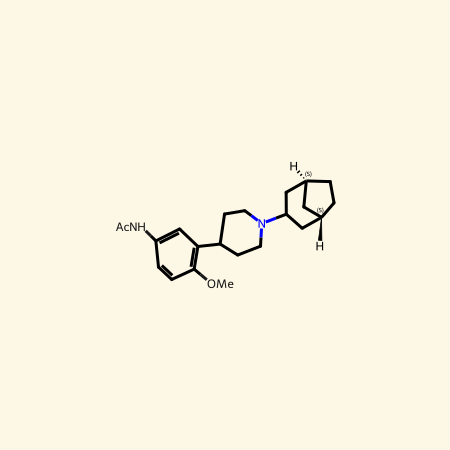 COc1ccc(NC(C)=O)cc1C1CCN(C2C[C@H]3CC[C@H](C2)C3)CC1